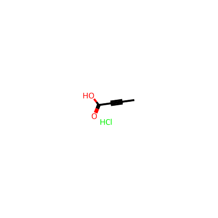 CC#CC(=O)O.Cl